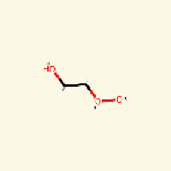 [O]OCCO